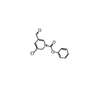 O=CC1=CN(C(=O)Oc2ccccc2)CC(Cl)=C1